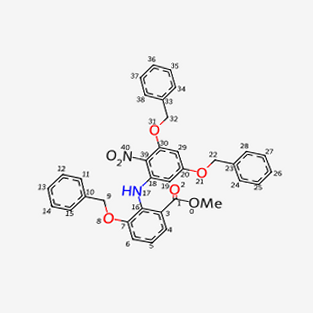 COC(=O)c1cccc(OCc2ccccc2)c1Nc1cc(OCc2ccccc2)cc(OCc2ccccc2)c1[N+](=O)[O-]